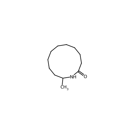 CC1CCCCCCCCCC(=O)N1